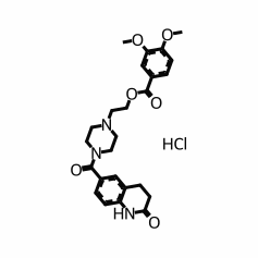 COc1ccc(C(=O)OCCN2CCN(C(=O)c3ccc4c(c3)CCC(=O)N4)CC2)cc1OC.Cl